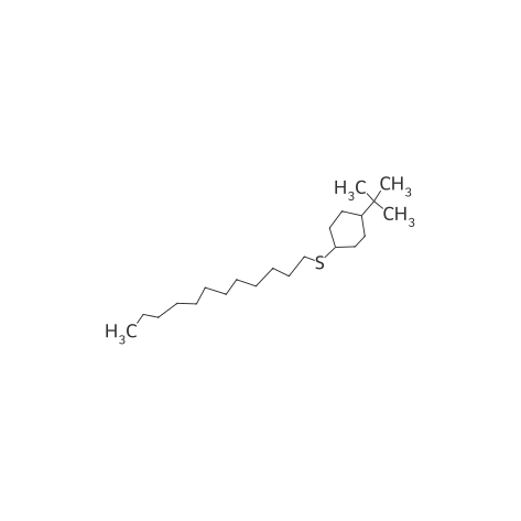 CCCCCCCCCCCCSC1CCC(C(C)(C)C)CC1